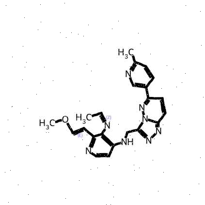 C/C=N\c1c(NCc2nnc3ccc(-c4ccc(C)nc4)nn23)ccnc1/C=C/OC